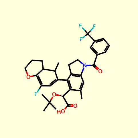 Cc1cc2c(c(C3=CC(F)=C4OCCCC4C3C)c1[C@H](OC(C)(C)C)C(=O)O)CCN2C(=O)c1cccc(C(F)(F)F)c1